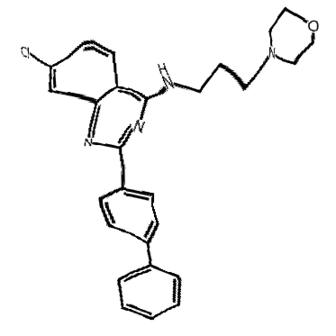 Clc1ccc2c(NCCCN3CCOCC3)nc(-c3ccc(-c4ccccc4)cc3)nc2c1